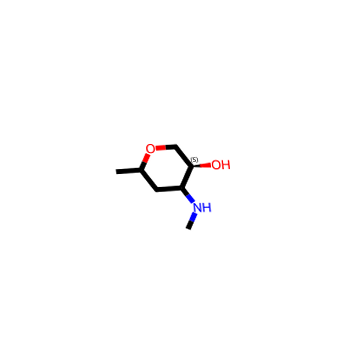 CNC1CC(C)OC[C@H]1O